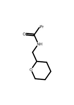 CC(C)C(=O)NCC1CCCCO1